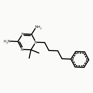 CC1(C)N=C(N)N=C(N)N1CCCCc1ccccc1